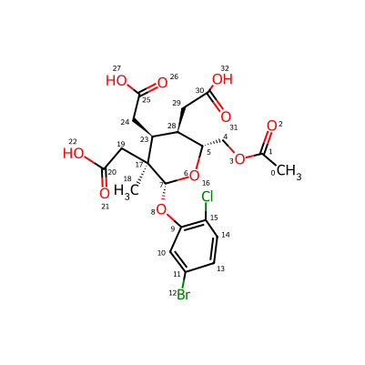 CC(=O)OC[C@@H]1O[C@H](Oc2cc(Br)ccc2Cl)[C@@](C)(CC(=O)O)[C@@H](CC(=O)O)[C@H]1CC(=O)O